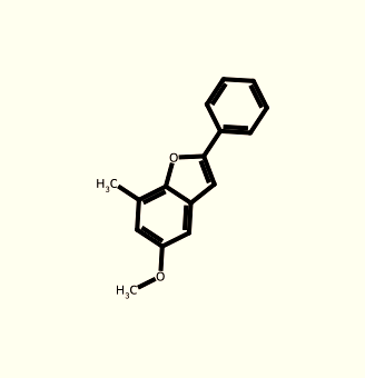 COc1cc(C)c2oc(-c3ccccc3)cc2c1